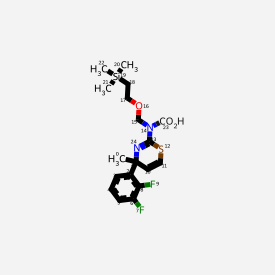 CC1(c2cccc(F)c2F)C=CSC(N(COCC[Si](C)(C)C)C(=O)O)=N1